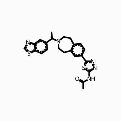 CC(=O)Nc1nnc(-c2ccc3c(c2)CCN(C(C)c2ccc4scnc4c2)CC3)s1